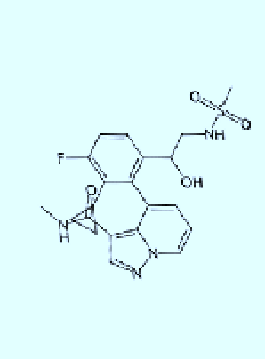 CNC(=O)c1cnn2cccc(-c3c(C(O)CNS(C)(=O)=O)ccc(F)c3C3CC3)c12